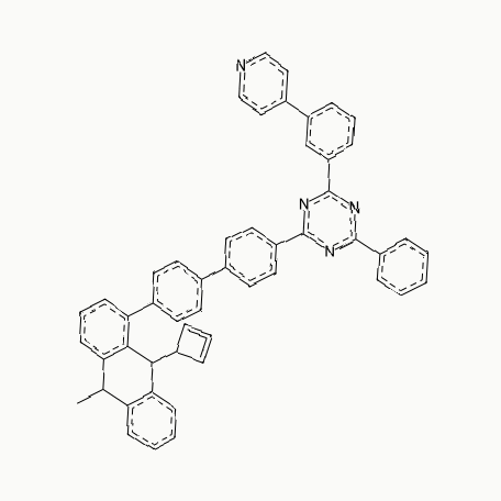 CC1c2ccccc2C(C2C=C=C2)c2c(-c3ccc(-c4ccc(-c5nc(-c6ccccc6)nc(-c6cccc(-c7ccncc7)c6)n5)cc4)cc3)cccc21